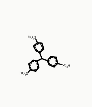 O=S(=O)(O)c1ccc(C(c2ccc(S(=O)(=O)O)cc2)c2ccc(S(=O)(=O)O)cc2)cc1